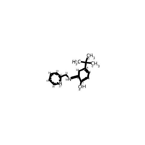 CC(C)(C)C1=CC=C(O)C(=NCc2ccccn2)C1